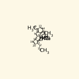 CCCC1=[C]([Zr][C]2(C)C=Cc3c(C)ccc(C)c32)CC=C1.Cl.Cl